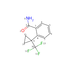 NC(=O)c1ccccc1C1(C(F)(F)F)CC1